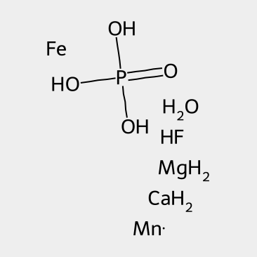 F.O.O=P(O)(O)O.[CaH2].[Fe].[MgH2].[Mn]